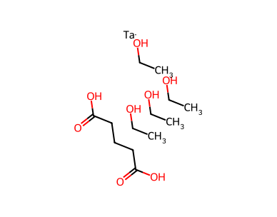 CCO.CCO.CCO.CCO.O=C(O)CCCC(=O)O.[Ta]